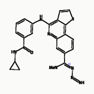 CN/C(=N\N=N)c1ccc2c(c1)nc(Nc1cccc(C(=O)NC3CC3)c1)c1ccsc12